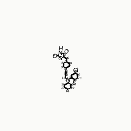 O=C1NC(=O)/C(=C/c2ccc(C#CCN3c4ccccc4Sc4ccc(Cl)cc43)cc2)S1